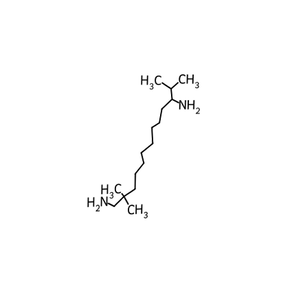 CC(C)C(N)CCCCCCCCC(C)(C)CN